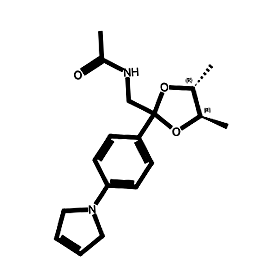 CC(=O)NCC1(c2ccc(N3CC=CC3)cc2)O[C@H](C)[C@@H](C)O1